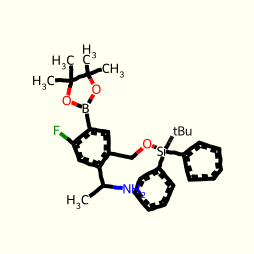 CC(N)c1cc(F)c(B2OC(C)(C)C(C)(C)O2)cc1CO[Si](c1ccccc1)(c1ccccc1)C(C)(C)C